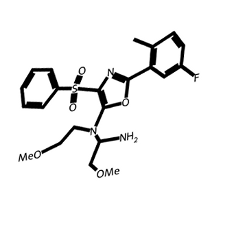 COCCN(c1oc(-c2cc(F)ccc2C)nc1S(=O)(=O)c1ccccc1)C(N)COC